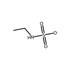 CCNS([O])(=O)=O